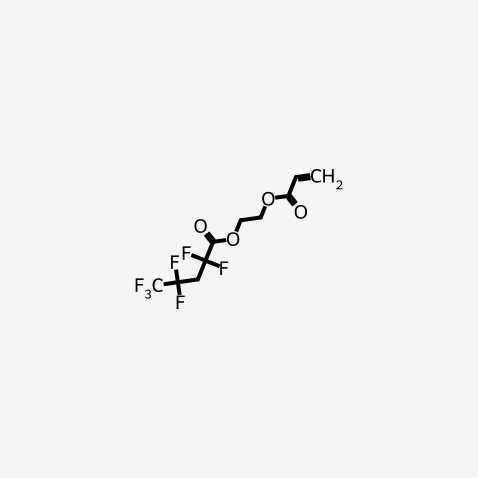 C=CC(=O)OCCOC(=O)C(F)(F)CC(F)(F)C(F)(F)F